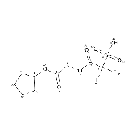 O=C(COC(=O)C(F)(F)S(=O)(=O)O)OC1CCCC1